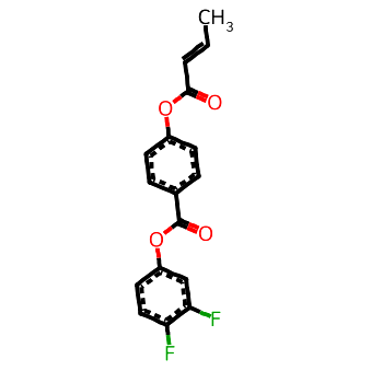 CC=CC(=O)Oc1ccc(C(=O)Oc2ccc(F)c(F)c2)cc1